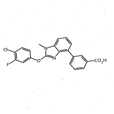 Cn1c(Oc2ccc(Cl)c(F)c2)nc2c(-c3cccc(C(=O)O)c3)cccc21